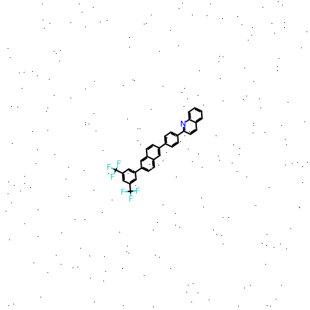 FC(F)(F)c1cc(-c2ccc3cc(-c4ccc(-c5ccc6ccccc6n5)cc4)ccc3c2)cc(C(F)(F)F)c1